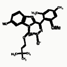 COc1cc(C)cc(C)c1C(=N[S+]([O-])C(C)(C)C)c1nc2ccc(C#N)cc2n1COCC[Si](C)(C)C